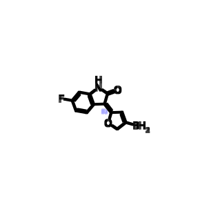 BC1=C/C(=C2\C(=O)Nc3cc(F)ccc32)OC1